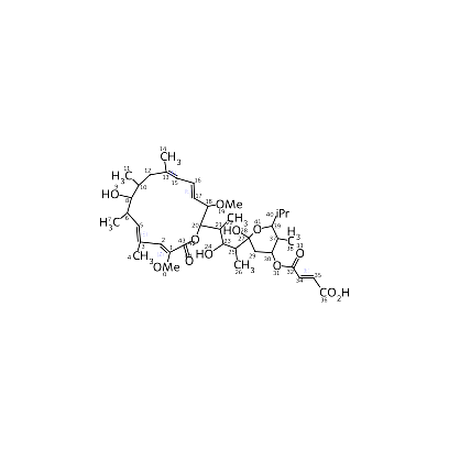 CO/C1=C\C(C)=C\C(C)C(O)C(C)C/C(C)=C/C=C/C(OC)C(C(C)C(O)C(C)C2(O)CC(OC(=O)/C=C/C(=O)O)C(C)C(C(C)C)O2)OC1=O